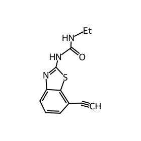 C#Cc1cccc2nc(NC(=O)NCC)sc12